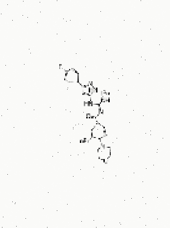 CCCC1CC(C(=O)/N=C(\Nc2cc(-c3ccc(F)cc3)n[nH]2)NC(C)(C)C)C=NC1N1CCOCC1